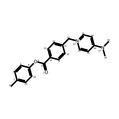 Cc1ccc(OC(=O)c2ccc(C[n+]3ccc(N(C)C)cc3)cc2)cc1